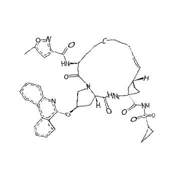 Cc1cc(C(=O)N[C@H]2CCCCC/C=C\[C@@H]3C[C@@]3(C(=O)NS(=O)(=O)C3CC3)NC(=O)[C@@H]3C[C@@H](Oc4nc5ccccc5c5ccccc45)CN3C2=O)no1